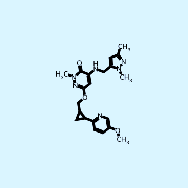 COc1ccc(C2CC2COc2cc(NCc3cc(C)nn3C)c(=O)n(C)n2)nc1